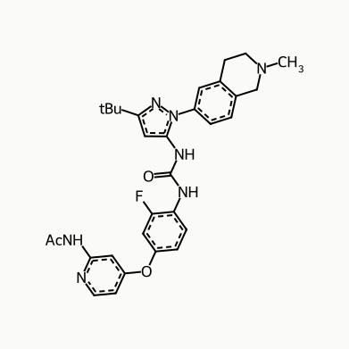 CC(=O)Nc1cc(Oc2ccc(NC(=O)Nc3cc(C(C)(C)C)nn3-c3ccc4c(c3)CCN(C)C4)c(F)c2)ccn1